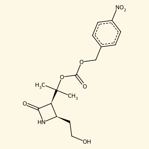 CC(C)(OC(=O)OCc1ccc([N+](=O)[O-])cc1)[C@@H]1C(=O)N[C@@H]1CCO